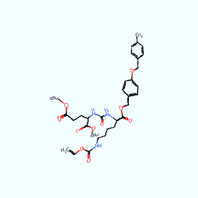 C=COC(=O)NCCCCC(NC(=O)NC(CCC(=O)OC(C)(C)C)C(=O)OC(C)(C)C)C(=O)OCc1ccc(OCc2ccc(C)cc2)cc1